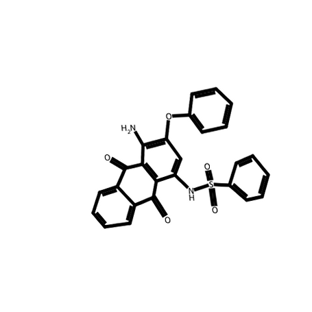 Nc1c(Oc2ccccc2)cc(NS(=O)(=O)c2ccccc2)c2c1C(=O)c1ccccc1C2=O